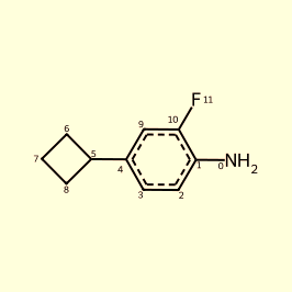 Nc1ccc(C2CCC2)cc1F